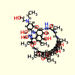 CCCN(CCO)c1cc(O)c2nc3c4c5c6c(C)c(O)c4c(=O)c(c-3oc2c1)NC(=O)/C(C)=C\C=C\[C@H](C)[C@H](O)[C@@H](C)[C@@H](O)[C@@H](C)[C@H](OC(C)=O)[C@H](C)[C@@H](OC)/C=C/O[C@@](C)(O6)/C5=N\O